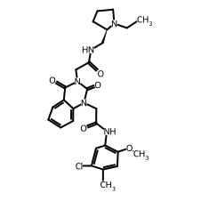 CCN1CCC[C@@H]1CNC(=O)Cn1c(=O)c2ccccc2n(CC(=O)Nc2cc(Cl)c(C)cc2OC)c1=O